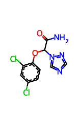 NC(=O)C(Oc1ccc(Cl)cc1Cl)n1cncn1